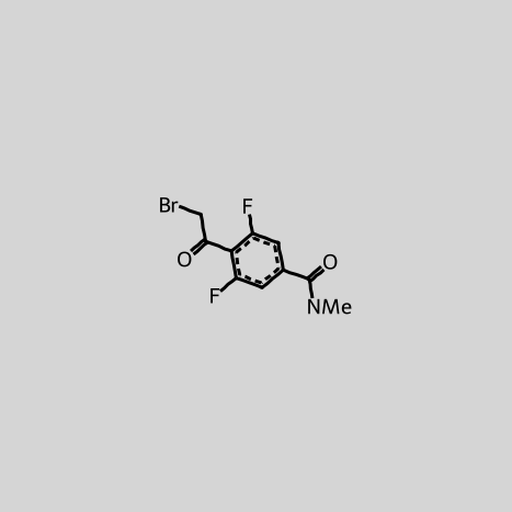 CNC(=O)c1cc(F)c(C(=O)CBr)c(F)c1